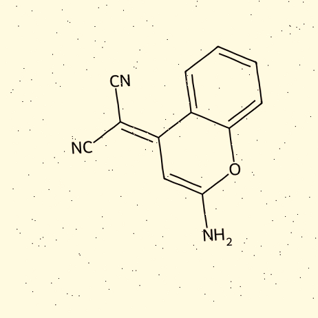 N#CC(C#N)=C1C=C(N)Oc2ccccc21